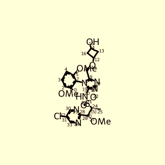 COc1cccc(OC)c1-n1c(COC2CC(O)C2)nnc1NS(=O)(=O)[C@@H](C)[C@H](OC)c1ncc(Cl)cn1